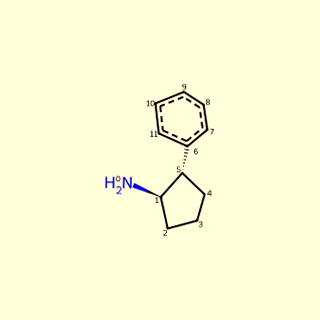 N[C@@H]1CCC[C@H]1c1ccccc1